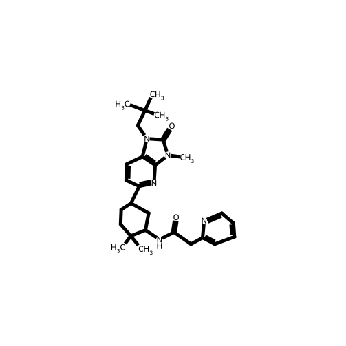 Cn1c(=O)n(CC(C)(C)C)c2ccc(C3CCC(C)(C)C(NC(=O)Cc4ccccn4)C3)nc21